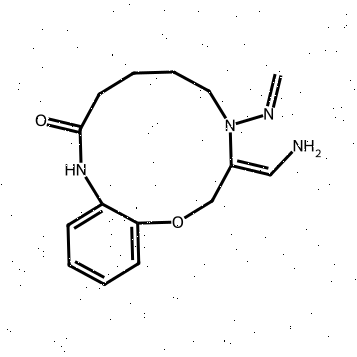 C=NN1CCCCC(=O)Nc2ccccc2OC/C1=C/N